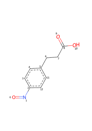 O=Nc1ccc(CCC(=O)O)cc1